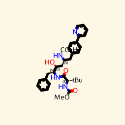 COC(=O)N[C@H](C(=O)N[C@@H](Cc1ccccc1)[C@@H](O)C[C@H](Cc1ccc(-c2ccccn2)cc1)NC(=O)O)C(C)(C)C